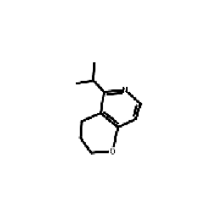 CC(C)c1nccc2c1CCCO2